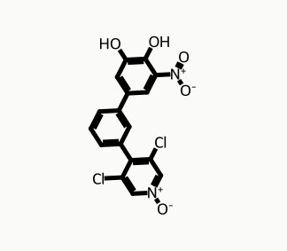 O=[N+]([O-])c1cc(-c2cccc(-c3c(Cl)c[n+]([O-])cc3Cl)c2)cc(O)c1O